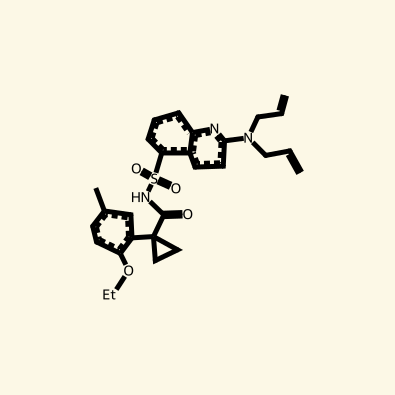 C=CCN(CC=C)c1ccc2c(S(=O)(=O)NC(=O)C3(c4cc(C)ccc4OCC)CC3)cccc2n1